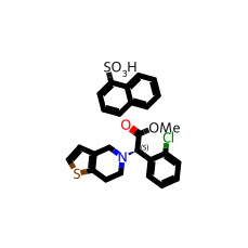 COC(=O)[C@H](c1ccccc1Cl)N1CCc2sccc2C1.O=S(=O)(O)c1cccc2ccccc12